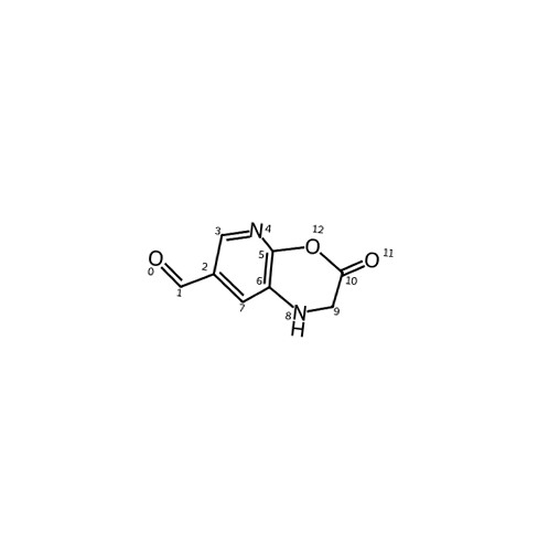 O=Cc1cnc2c(c1)NCC(=O)O2